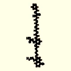 C=CCc1c(OCCCCCOc2cccc(OCCOCCOCCOCCNC(=O)OCc3ccccc3)c2CCC(=O)O)ccc2c1CCCC2=O